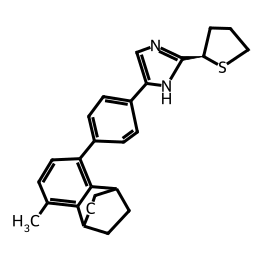 Cc1ccc(-c2ccc(-c3cnc([C@H]4CCCS4)[nH]3)cc2)c2c1C1CCC2CC1